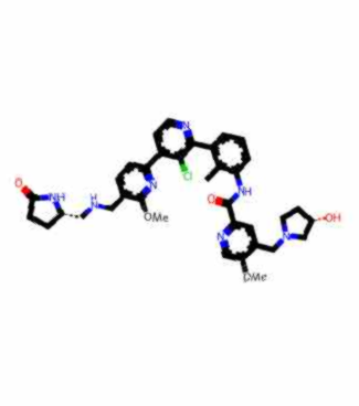 COc1cnc(C(=O)Nc2cccc(-c3nccc(-c4ccc(CNC[C@@H]5CCC(=O)N5)c(OC)n4)c3Cl)c2C)cc1CN1CC[C@H](O)C1